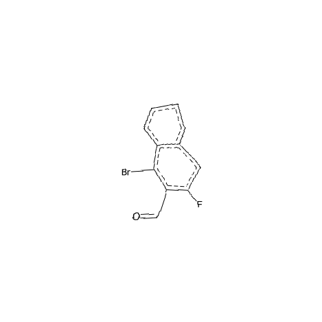 O=Cc1c(F)cc2ccccc2c1Br